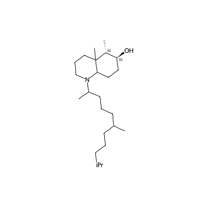 CC(C)CCCC(C)CCCC(C)N1CCCC2(C)C1CC[C@H](O)[C@H]2C